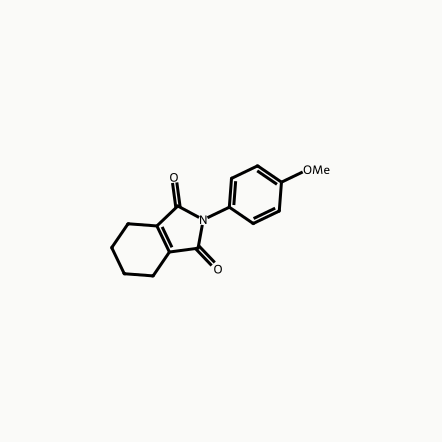 COc1ccc(N2C(=O)C3=C(CCCC3)C2=O)cc1